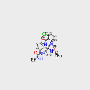 CCNC(=O)Nc1cccc(-n2c(C3CCCN3C(=O)OC(C)(C)C)nc3cccc(Cl)c3c2=O)c1